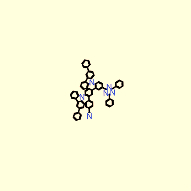 N#Cc1ccc(-c2cc(-c3cc(-c4nc(-c5ccccc5)nc(-c5ccccc5)n4)ccc3-n3c4ccccc4c4cc(-c5ccccc5)ccc43)ccc2-n2c3ccccc3c3cc(-c4ccccc4)ccc32)cc1